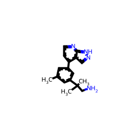 Cc1cc(-c2ccnc3[nH]ncc23)cc(C(C)(C)CN)c1